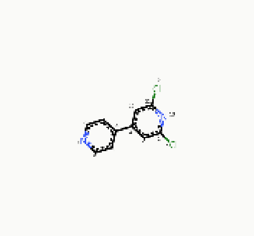 Clc1cc(-c2ccncc2)cc(Cl)n1